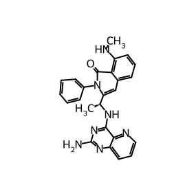 CNc1cccc2cc([C@H](C)Nc3nc(N)nc4cccnc34)n(-c3ccccc3)c(=O)c12